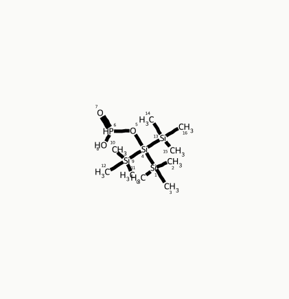 C[Si](C)(C)[Si](O[PH](=O)O)([Si](C)(C)C)[Si](C)(C)C